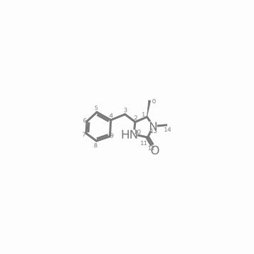 C[C@@H]1C(Cc2ccccc2)NC(=O)N1C